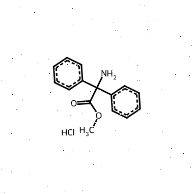 COC(=O)C(N)(c1ccccc1)c1ccccc1.Cl